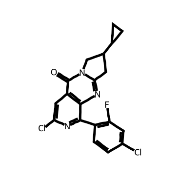 O=c1c2cc(Cl)nc(-c3ccc(Cl)cc3F)c2nc2n1CC(C1CC1)C2